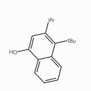 CC(C)c1cc(O)c2ccccc2c1C(C)(C)C